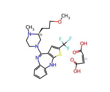 COCCC[C@H]1CN(C2=Nc3ccccc3Nc3sc(C(F)(F)F)cc32)CCN1C.O=C(O)/C=C\C(=O)O